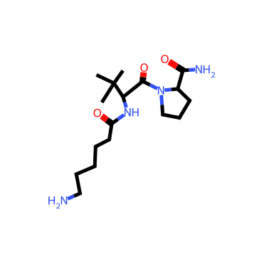 CC(C)(C)C(NC(=O)CCCCCN)C(=O)N1CCCC1C(N)=O